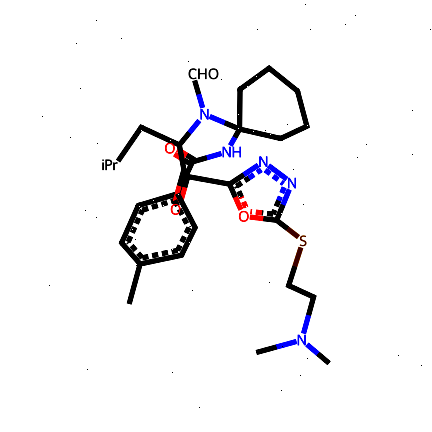 Cc1ccc(C(=O)NC2(N(C=O)C(CC(C)C)C(=O)c3nnc(SCCN(C)C)o3)CCCCC2)cc1